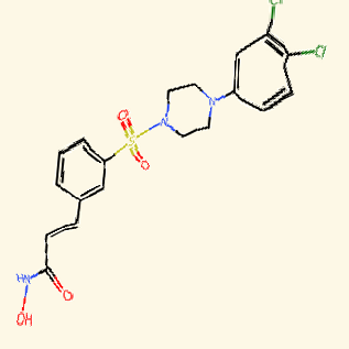 O=C(C=Cc1cccc(S(=O)(=O)N2CCN(c3ccc(Cl)c(Cl)c3)CC2)c1)NO